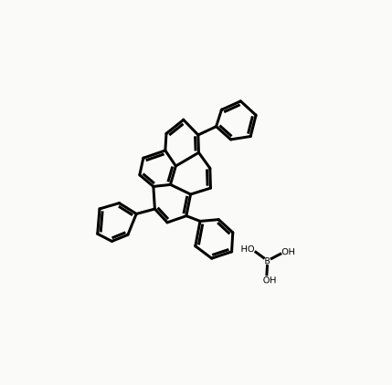 OB(O)O.c1ccc(-c2ccc3ccc4c(-c5ccccc5)cc(-c5ccccc5)c5ccc2c3c45)cc1